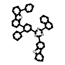 c1ccc(-c2cc(-c3nc(-c4ccc5c(c4)oc4ccccc45)nc(-c4cccc5ccccc45)n3)ccc2-c2cccc3c2sc2c(-c4ccccc4)cccc23)cc1